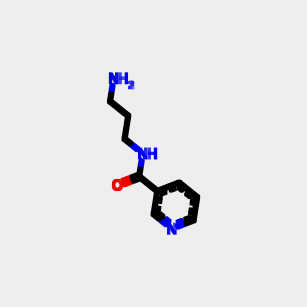 NCCCNC(=O)c1cccnc1